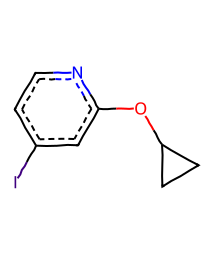 Ic1ccnc(OC2CC2)c1